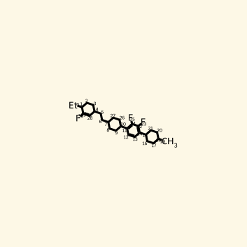 CCC1CCC(CCC2CCC(c3ccc(C4CCC(C)CC4)c(F)c3F)CC2)C=C1F